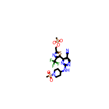 CS(=O)(=O)OCc1nc(C(F)(F)F)c(-c2nc(NC3CCN(S(C)(=O)=O)CC3)ncc2C#N)s1